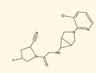 N#CC1CC(F)CN1C(=O)CNC1C2CN(c3ncccc3Cl)CC21